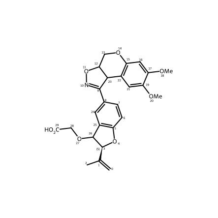 C=C(C)[C@@H]1Oc2ccc(C3=NOC4COc5cc(OC)c(OC)cc5C34)cc2C1OCC(=O)O